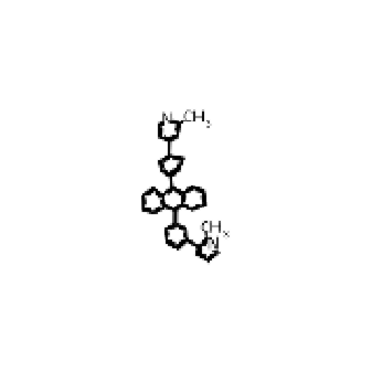 Cc1cc(-c2ccc(-c3c4ccccc4c(-c4cccc(-c5cccnc5C)c4)c4ccccc34)cc2)ccn1